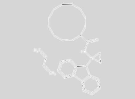 C=CC=C.O=C([NH][Ti]1([CH]2c3ccccc3-c3ccccc32)[CH2][CH2]1)C1CCCCCCCCCCC1